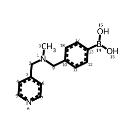 CN(Cc1ccncc1)Cc1ccc(B(O)O)cc1